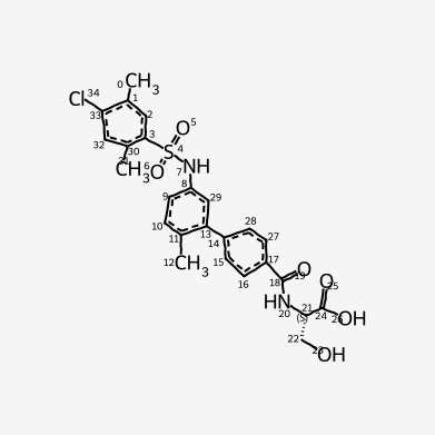 Cc1cc(S(=O)(=O)Nc2ccc(C)c(-c3ccc(C(=O)N[C@@H](CO)C(=O)O)cc3)c2)c(C)cc1Cl